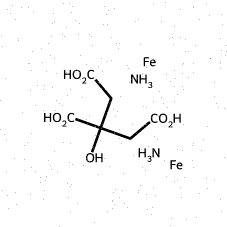 N.N.O=C(O)CC(O)(CC(=O)O)C(=O)O.[Fe].[Fe]